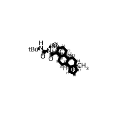 CC(C)(C)NC(=O)N(C(=O)C1=C2CC[C@@H]3[C@@H](CC[C@]4(C)CCC[C@@H]34)[C@@]2(C)CCC1=O)C(C)(C)C